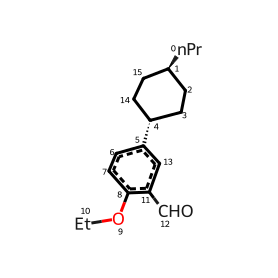 CCC[C@H]1CC[C@H](c2ccc(OCC)c(C=O)c2)CC1